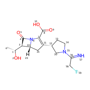 C[C@@H](O)[C@H]1C(=O)N2C(C(=O)O)=C([C@@H]3CCN(C(=N)CF)C3)C[C@H]12